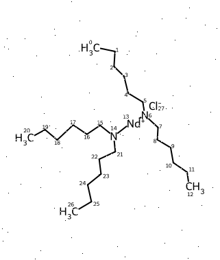 CCCCCC[N](CCCCCC)[Nd+][N](CCCCCC)CCCCCC.[Cl-]